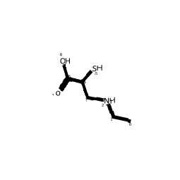 CCNCC(S)C(=O)O